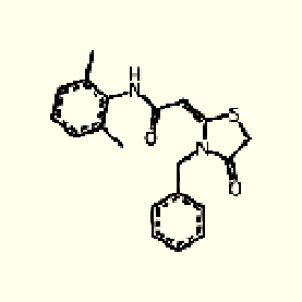 Cc1cccc(C)c1NC(=O)C=C1SCC(=O)N1Cc1ccccc1